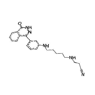 N#CCCNCCCCCNc1cccc(-c2n[nH]c(=O)c3ccccc23)c1